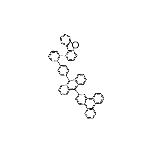 c1ccc(-c2cccc3oc4ccccc4c23)c(-c2ccc(-c3c4ccccc4c(-c4ccc5c6ccccc6c6ccccc6c5c4)c4ccccc34)cc2)c1